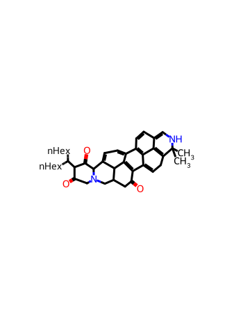 CCCCCCC(CCCCCC)C1C(=O)CN2CC3CC(=O)c4c5c(c6ccc7c8c6c4=CCC=8C(C)(C)NC=7)=CC=C(C53)C2C1=O